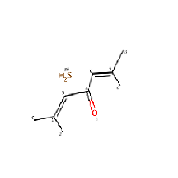 CC(C)=CC(=O)C=C(C)C.S